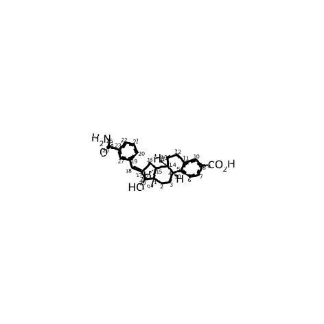 C[C@]12CC[C@@H]3c4ccc(C(=O)O)cc4CC[C@H]3[C@@H]1C/C(=C\c1cccc(C(N)=O)c1)[C@@H]2O